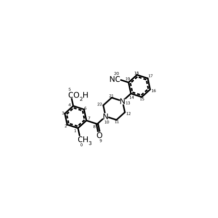 Cc1ccc(C(=O)O)cc1C(=O)N1CCN(c2ccccc2C#N)CC1